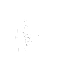 CCCCNc1nc(OC(=O)CN)nc2c(C)nn(Cc3ccc(CO)cc3OC)c12